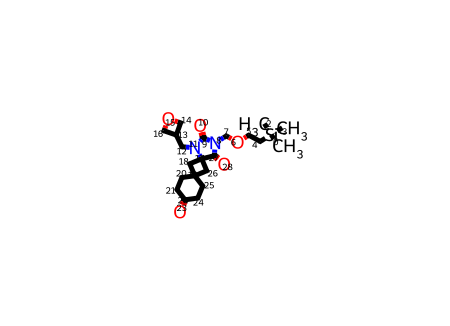 C[Si](C)(C)CCOCN1C(=O)N(CC2COC2)C2(CC3(CCC(=O)CC3)C2)C1=O